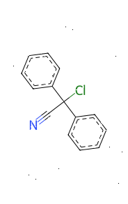 N#CC(Cl)(c1ccccc1)c1ccccc1